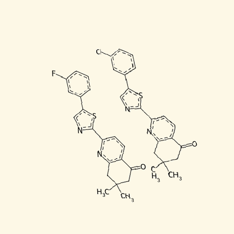 CC1(C)CC(=O)c2ccc(-c3ncc(-c4cccc(Cl)c4)s3)nc2C1.CC1(C)CC(=O)c2ccc(-c3ncc(-c4cccc(F)c4)s3)nc2C1